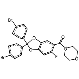 O=C(c1cc2c(cc1F)OC(c1ccc(Br)cc1)(c1ccc(Br)cc1)O2)N1CCOCC1